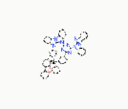 c1ccc([Si](c2ccccc2)(c2cccc(-c3nc(-n4c5ccccc5n5c6ccccc6nc45)nc(-n4c5ccccc5n5c6ccccc6nc45)n3)c2)c2cccc3c2oc2ccccc23)cc1